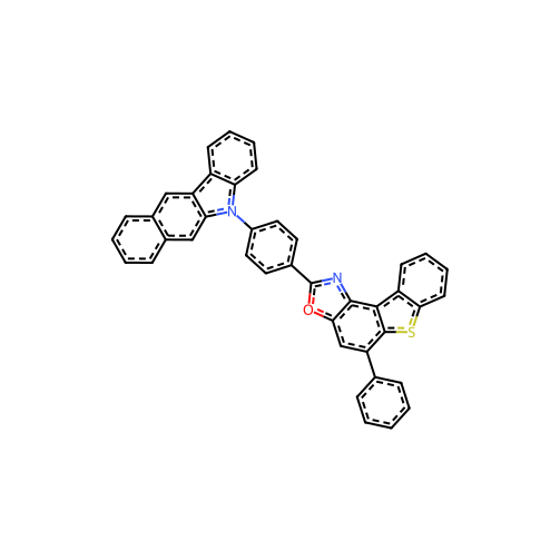 c1ccc(-c2cc3oc(-c4ccc(-n5c6ccccc6c6cc7ccccc7cc65)cc4)nc3c3c2sc2ccccc23)cc1